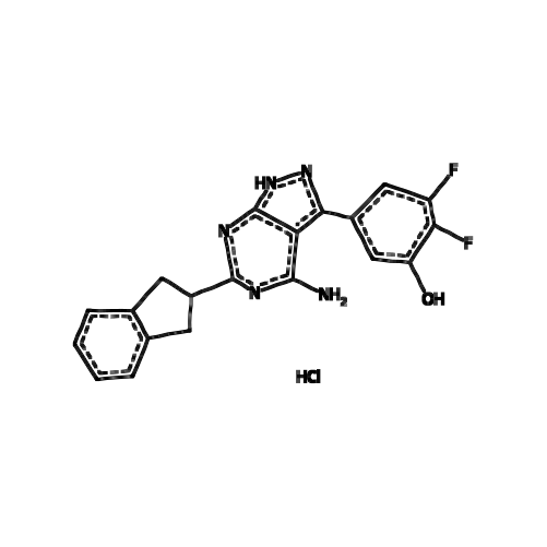 Cl.Nc1nc(C2Cc3ccccc3C2)nc2[nH]nc(-c3cc(O)c(F)c(F)c3)c12